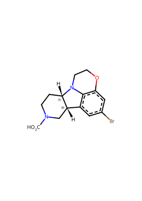 O=C(O)N1CC[C@H]2[C@@H](C1)c1cc(Br)cc3c1N2CCO3